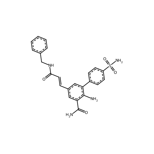 NC(=O)c1cc(C=CC(=O)NCc2ccccc2)cc(-c2ccc(S(N)(=O)=O)cc2)c1N